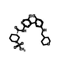 CS(=O)(=O)N1CCC[C@H](C(=O)Nc2cc(-c3cc(NCC4CCOCC4)ccc3Cl)c(Cl)cn2)C1